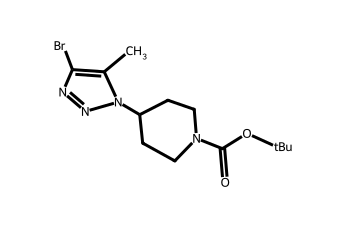 Cc1c(Br)nnn1C1CCN(C(=O)OC(C)(C)C)CC1